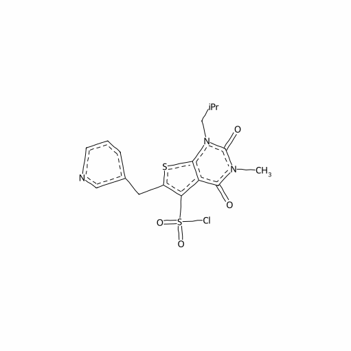 CC(C)Cn1c(=O)n(C)c(=O)c2c(S(=O)(=O)Cl)c(Cc3cccnc3)sc21